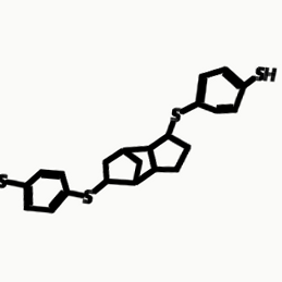 Sc1ccc(SC2CC3CC2C2CCC(Sc4ccc(S)cc4)C32)cc1